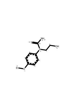 CCOc1ccc(N(CCO)C(N)=S)cc1